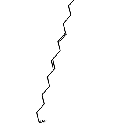 CCCCCCCCCCCCCCCC=CCC=CCCCC(=O)O